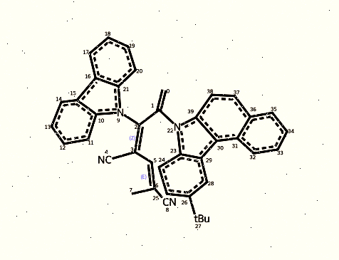 C=C(/C(=C(C#N)\C=C(/C)C#N)n1c2ccccc2c2ccccc21)n1c2ccc(C(C)(C)C)cc2c2c3ccccc3ccc21